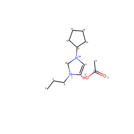 CC(=O)O.CCCN1C=CN(C2CCCC2)C1